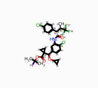 C[C@H]([C@H](C(=O)Nc1cc(C(OC2CC2)C2(C(=O)OC(C)(C)I)CC2)ccc1Cl)c1ccc(Cl)cc1)C(F)(F)F